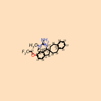 CN(C=O)/C(N)=N\C1c2cc(OCC(F)(F)F)ccc2CC12CCc1ccccc1CC2